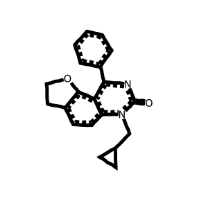 O=c1nc(-c2ccccc2)c2c3c(ccc2n1CC1CC1)CCO3